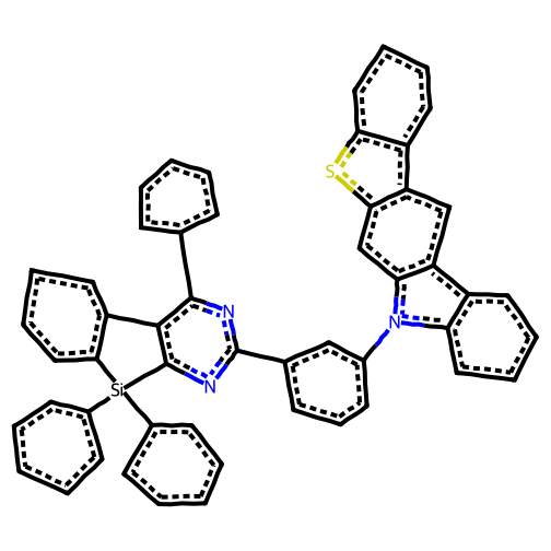 c1ccc(-c2nc(-c3cccc(-n4c5ccccc5c5cc6c(cc54)sc4ccccc46)c3)nc3c2-c2ccccc2[Si]3(c2ccccc2)c2ccccc2)cc1